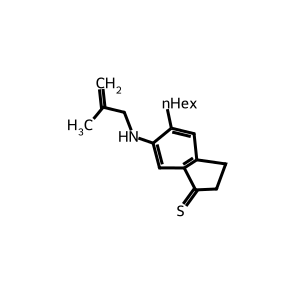 C=C(C)CNc1cc2c(cc1CCCCCC)CCC2=S